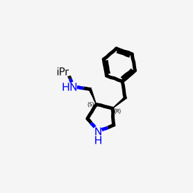 CC(C)NC[C@@H]1CNC[C@@H]1Cc1ccccc1